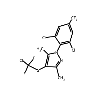 Cc1nn(-c2c(Cl)cc(C(F)(F)F)cc2Cl)c(C)c1SC(F)(F)Cl